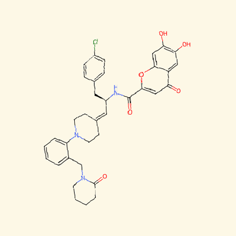 O=C(N[C@@H](C=C1CCN(c2ccccc2CN2CCCCC2=O)CC1)Cc1ccc(Cl)cc1)c1cc(=O)c2cc(O)c(O)cc2o1